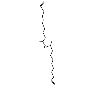 C=CCCCCCCCC(C)OC(C)CCCCCCCC=C